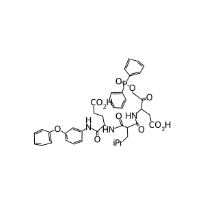 CC(C)CC(C(=O)NC(CC(=O)O)C(=O)COP(=O)(c1ccccc1)c1ccccc1)C(=O)NC(CCC(=O)O)C(=O)Nc1cccc(Oc2ccccc2)c1